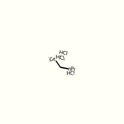 CCC[CH2][Ge].Cl.Cl.Cl